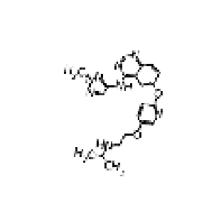 CC(C)NCCOc1ccc(Oc2ccc3ncnc(Nc4cnn(C)n4)c3c2)nc1